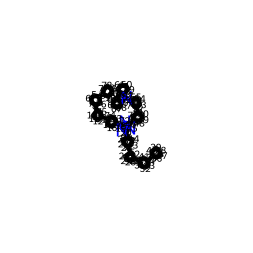 c1ccc(-c2cccc(-c3cccc(-c4ccc(-c5nc(-c6ccc(-c7cccc(-c8cccc(-c9ccccc9)c8)c7)cc6)nc(-c6cccc(-c7cccc(-n8c9ccccc9c9ccccc98)c7)c6)n5)cc4)c3)c2)cc1